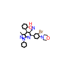 Cc1nn(-c2ccccc2)c2nc(-c3ccc(N4CCOCC4)c(Br)c3)c(C#N)c(-c3ccccc3O)c12